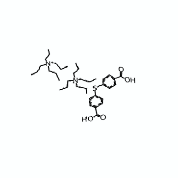 CCC[N+](CCC)(CCC)CCC.CCC[N+](CCC)(CCC)CCC.O=C(O)c1ccc(Sc2ccc(C(=O)O)cc2)cc1